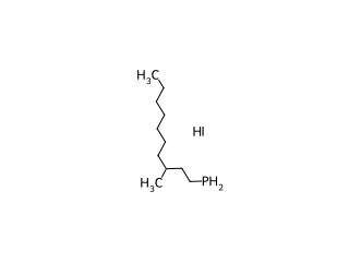 CCCCCCCC(C)CCP.I